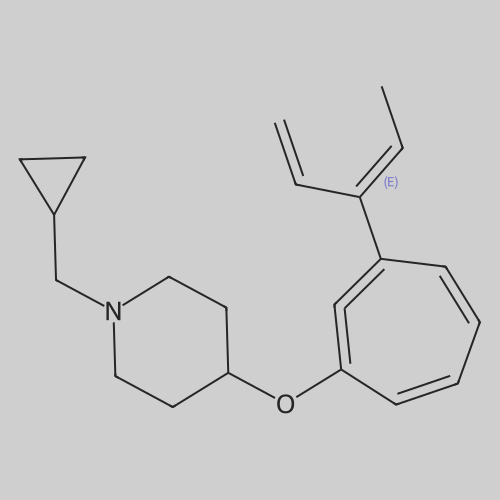 C=C/C(=C\C)C1=C=C(OC2CCN(CC3CC3)CC2)C=CC=C1